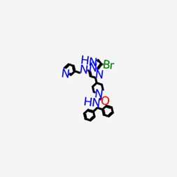 O=C(NC(c1ccccc1)c1ccccc1)N1CCC(c2cc(NCc3cccnc3)n3ncc(Br)c3n2)CC1